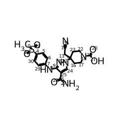 CS(=O)(=O)c1ccc(Nc2nn(C3(CC#N)CCN(C(=O)O)CC3)cc2C(N)=O)cc1